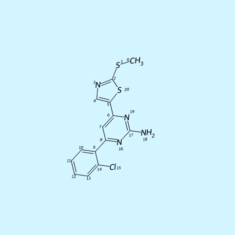 CSc1ncc(-c2cc(-c3ccccc3Cl)nc(N)n2)s1